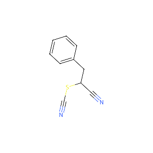 N#CSC(C#N)Cc1ccccc1